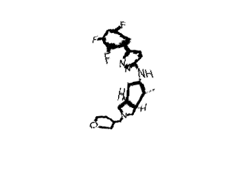 C[C@@H]1[C@H]2CN(CC3CCOCC3)C[C@H]2C[C@@H]1Nc1ccc(-c2cc(F)cc(F)c2F)nn1